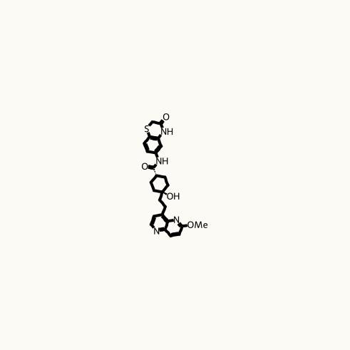 COc1ccc2nccc(CC[C@]3(O)CC[C@H](C(=O)Nc4ccc5c(c4)NC(=O)CS5)CC3)c2n1